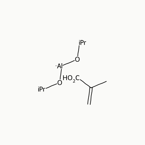 C=C(C)C(=O)O.CC(C)[O][Al][O]C(C)C